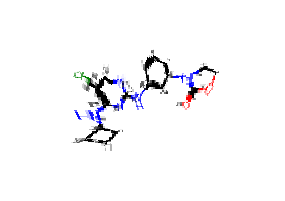 O=C1OCCN1c1cccc(Nc2ncc(Cl)c(NC3CCC3)n2)c1